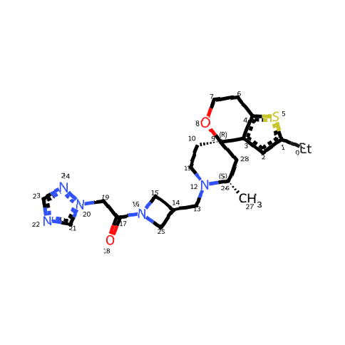 CCc1cc2c(s1)CCO[C@@]21CCN(CC2CN(C(=O)Cn3cncn3)C2)[C@@H](C)C1